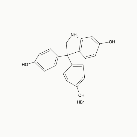 Br.NCC(c1ccc(O)cc1)(c1ccc(O)cc1)c1ccc(O)cc1